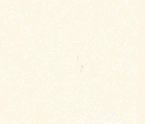 C=C(C)C(=O)OCC1CCCCCCC1